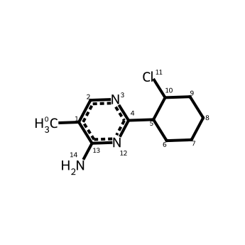 Cc1cnc(C2CCCCC2Cl)nc1N